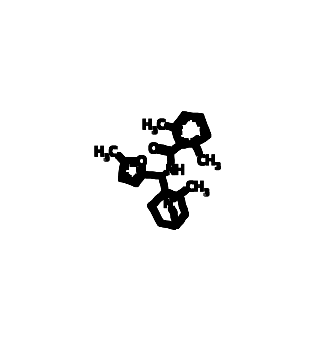 Cc1ccc([C@@H](NC(=O)c2c(C)cccc2C)C23CCC(CC2)CN3C)o1